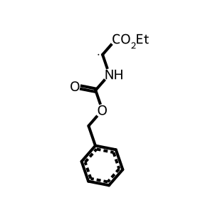 CCOC(=O)[CH]NC(=O)OCc1ccccc1